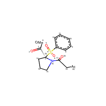 COC(=O)[C@@]1(S(=O)(=O)c2ccccc2)CCCN1C(=O)CC(C)=O